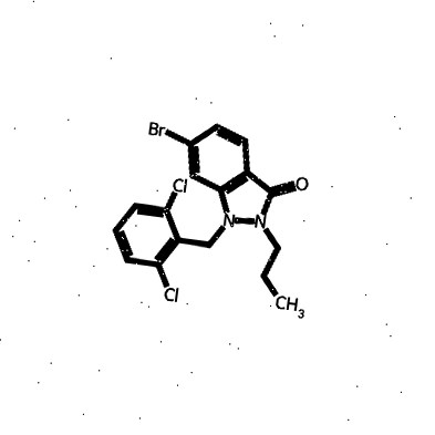 CCCn1c(=O)c2ccc(Br)cc2n1Cc1c(Cl)cccc1Cl